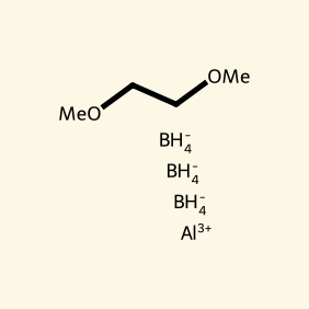 COCCOC.[Al+3].[BH4-].[BH4-].[BH4-]